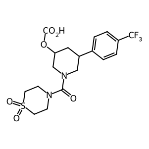 O=C(O)OC1CC(c2ccc(C(F)(F)F)cc2)CN(C(=O)N2CCS(=O)(=O)CC2)C1